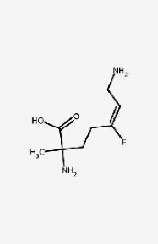 CC(N)(CC/C(F)=C\CN)C(=O)O